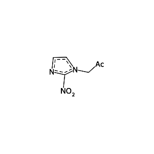 CC(=O)Cn1ccnc1[N+](=O)[O-]